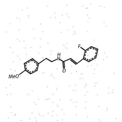 COc1ccc(CCNC(=O)/C=C/c2ccccc2F)cc1